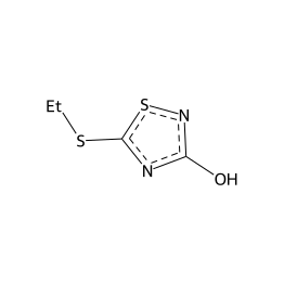 CCSc1nc(O)ns1